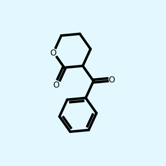 O=C1OCCCC1C(=O)c1ccccc1